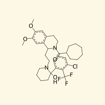 COc1cc2c(cc1OC)C(CCN1CCCCC1(O)c1cccc(Cl)c1C(F)(F)F)N(C(=O)C1CCCCCC1)CC2